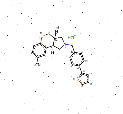 Cl.N#Cc1ccc2c(c1)[C@@H]1CN(Cc3ccc(-c4cccs4)cc3)C[C@H]1CO2